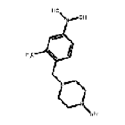 CCCN1CCN(Cc2ccc(N(O)O)cc2C(F)(F)F)CC1